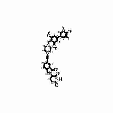 COc1cc(-c2cc(C)c(=O)n(C)c2)cc(OC)c1CN1CCN(C#Cc2ccc3c(c2)C(=O)N(C2CCC(=O)NC2=O)C3)CC1